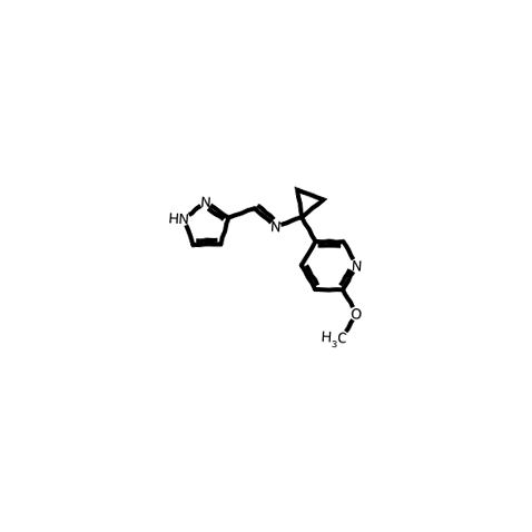 COc1ccc(C2(N=Cc3cc[nH]n3)CC2)cn1